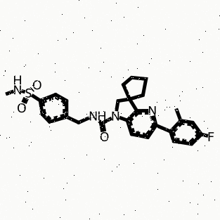 CNS(=O)(=O)c1ccc(CNC(=O)N2CC3(CCCC3)c3nc(-c4ccc(F)cc4C)ccc32)cc1